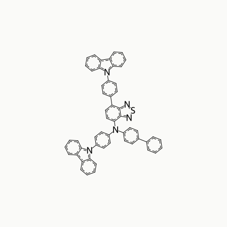 c1ccc(-c2ccc(N(c3ccc(-n4c5ccccc5c5ccccc54)cc3)c3ccc(-c4ccc(-n5c6ccccc6c6ccccc65)cc4)c4nsnc34)cc2)cc1